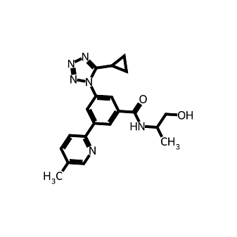 Cc1ccc(-c2cc(C(=O)NC(C)CO)cc(-n3nnnc3C3CC3)c2)nc1